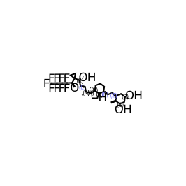 C=C1/C(=C\C=C2/CCC[C@]3(C)[C@@H]([C@H](C)/C=C/[C@@H](O)C4(C(=O)C(F)(F)C(F)(F)C(F)(F)C(F)(F)F)CC4)CC[C@@H]23)C[C@@H](O)C[C@@H]1O